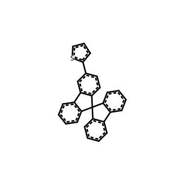 c1csc(-c2ccc3c(c2)-c2ccccc2C32c3ccccc3-c3ccccc32)c1